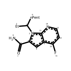 CCCCCC(CC)n1c(C(N)=O)cc2c(F)ccnc21